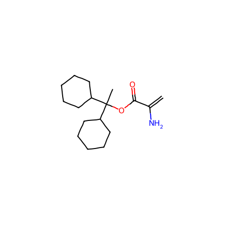 C=C(N)C(=O)OC(C)(C1CCCCC1)C1CCCCC1